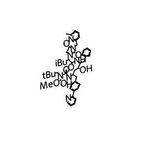 CCC(C)C(C(=O)NC(Cc1ccccc1)C(O)CC(Cc1ccc(-c2ccccn2)cc1)NC(=O)N(CC(C)(C)C)C(=O)OC)N1CC(=O)N(Cc2cccc(C)n2)C1=O